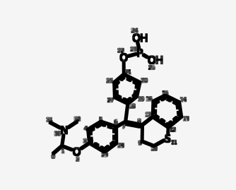 CC(Oc1ccc(C(=C2CCSc3ccccc32)c2ccc(OP(O)O)cc2)cc1)N(C)C